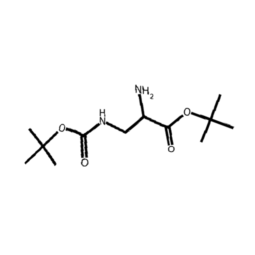 CC(C)(C)OC(=O)NCC(N)C(=O)OC(C)(C)C